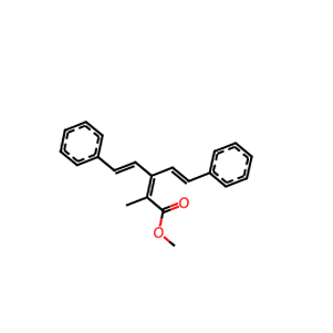 COC(=O)C(C)=C(C=Cc1ccccc1)C=Cc1ccccc1